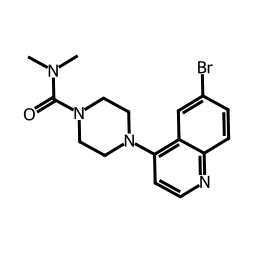 CN(C)C(=O)N1CCN(c2ccnc3ccc(Br)cc23)CC1